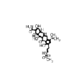 CN(C)c1cc(CCCNS(C)(=O)=O)c(O)c2c1C[C@H]1C[C@H]3CC(O)=C(C(N)=O)C(=O)[C@@]3(O)C(O)=C1C2=O